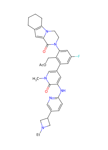 CCN1CC(c2ccc(Nc3cc(-c4cc(F)cc(N5CCn6c(cc7c6CCCC7)C5=O)c4COC(C)=O)cn(C)c3=O)nc2)C1